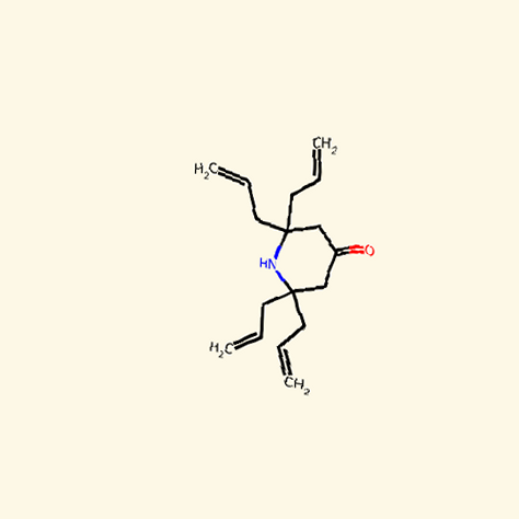 C=CCC1(CC=C)CC(=O)CC(CC=C)(CC=C)N1